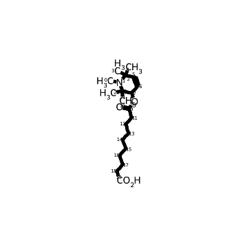 CN1C(C)(C)C#CC(OC(=O)CCCCCCCCC(=O)O)C1(C)C